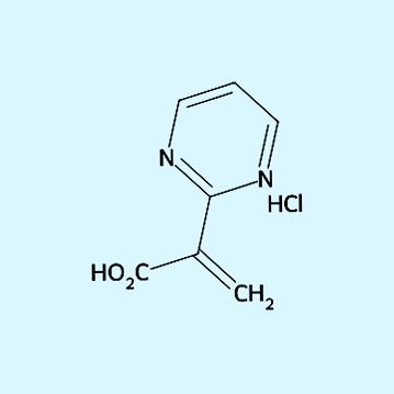 C=C(C(=O)O)c1ncccn1.Cl